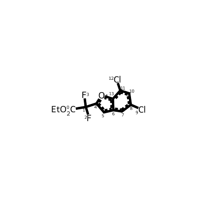 CCOC(=O)C(F)(F)c1cc2cc(Cl)cc(Cl)c2o1